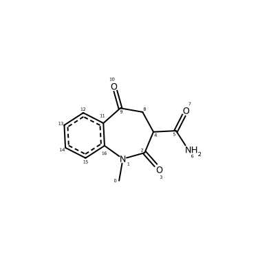 CN1C(=O)C(C(N)=O)CC(=O)c2ccccc21